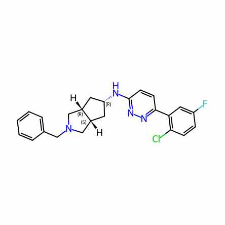 Fc1ccc(Cl)c(-c2ccc(N[C@@H]3C[C@@H]4CN(Cc5ccccc5)C[C@@H]4C3)nn2)c1